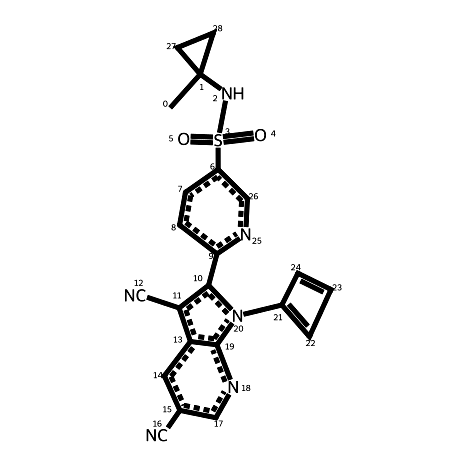 CC1(NS(=O)(=O)c2ccc(-c3c(C#N)c4cc(C#N)cnc4n3C3=CC=C3)nc2)CC1